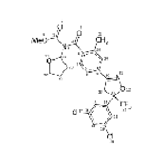 COC(=O)N(C(=O)c1ccc(C2=NOC(c3cc(Cl)cc(Cl)c3)(C(F)(F)F)C2)cc1C)C1CCCO1